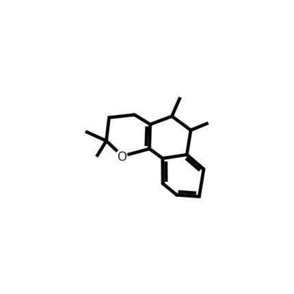 CC1C2=C(OC(C)(C)CC2)c2ccccc2C1C